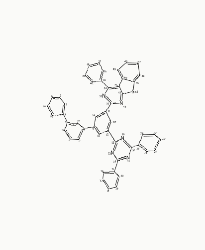 c1ccc(-c2cccc(-c3cc(-c4nc(-c5ccccc5)nc(-c5ccccc5)n4)cc(-c4nc(-c5ccccc5)c5c(n4)sc4ccccc45)c3)c2)cc1